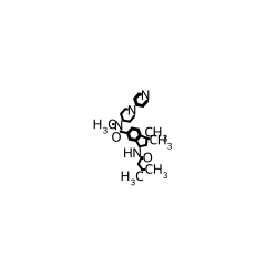 CC(C)CC(=O)NC1CC(C)(C)c2ccc(C(=O)N(C)C3CCN(c4ccncc4)CC3)cc21